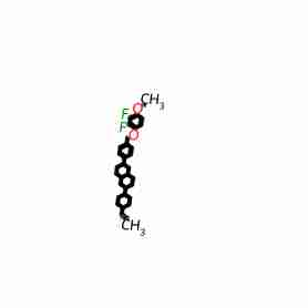 C/C=C/C1CCC(C2CCC3CC(c4ccc(COc5ccc(OCC)c(F)c5F)cc4)CCC3C2)CC1